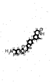 Cc1cc(-c2ccc3cc(Cn4cnn(CC(CN)=C(F)F)c4=O)sc3c2)cc2c1NC(=O)CC2